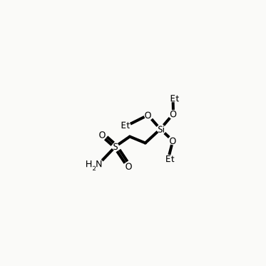 CCO[Si](CCS(N)(=O)=O)(OCC)OCC